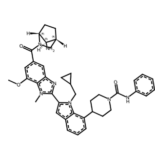 COc1cc(C(=O)N2C[C@H]3CC[C@@H]2[C@@H]3N)cc2nc(-c3cc4cccc(C5CCN(C(=O)Nc6ccccc6)CC5)c4n3CC3CC3)n(C)c12